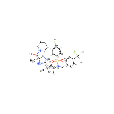 C[C@]1(C(=O)N2CCCCC2)CN=C([C@H]2CC3(N(Cc4ccc(C(F)(F)F)cc4)S(=O)(=O)c4ccc(F)cc4)CC2C3)N1